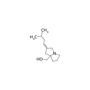 CC(C)CC=C1CN2CCCC2(CO)C1